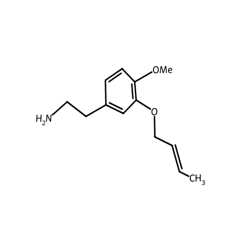 CC=CCOc1cc(CCN)ccc1OC